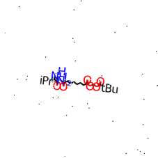 CC(C)[C@H](N)C(=O)NC(=O)CCCCCCC(=O)OCOC(=O)C(C)(C)C